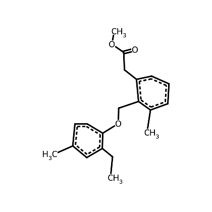 CCc1cc(C)ccc1OCc1c(C)cccc1CC(=O)OC